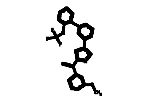 COc1cccc(C(=O)c2cn(-c3cccc(-c4ccccc4OC(F)(F)F)c3)cn2)c1